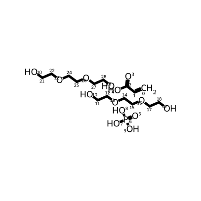 C=CC(=O)O.O=P(O)(O)O.OCCOCCOCCO.OCCOCCOCCO